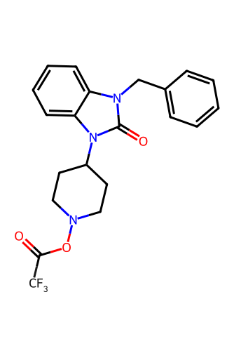 O=C(ON1CCC(n2c(=O)n(Cc3ccccc3)c3ccccc32)CC1)C(F)(F)F